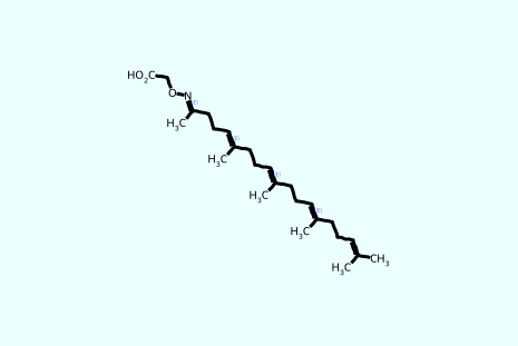 CC(C)=CCC/C(C)=C/CC/C(C)=C/CC/C(C)=C/CC/C(C)=N/OCC(=O)O